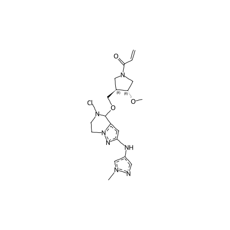 C=CC(=O)N1C[C@H](COC2c3cc(Nc4cnn(C)c4)nn3CCN2Cl)[C@@H](OC)C1